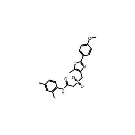 COc1ccc(-c2nc(CS(=O)(=O)CC(=O)Nc3ccc(C)cc3C)c(C)o2)cc1